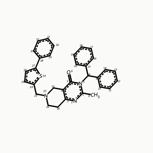 Cc1nc2c(c(=O)n1C(c1ccccc1)c1ccccc1)CN(Cc1ccc(-c3ccccc3)s1)CC2